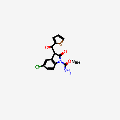 NC(=O)N1C(=O)C(C(=O)c2cccs2)c2cc(Cl)ccc21.[NaH]